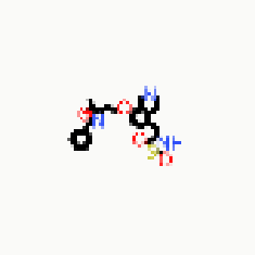 Cc1oc(-c2ccccc2)nc1CCOc1ccc(CC2NC(=O)SC2=O)c2ccncc12